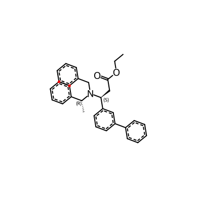 CCOC(=O)C[C@@H](c1cccc(-c2ccccc2)c1)N(Cc1ccccc1)[C@H](C)c1ccccc1